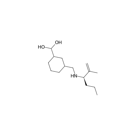 C=C(C)[C@@H](CCC)NCC1CCCC(C(O)O)C1